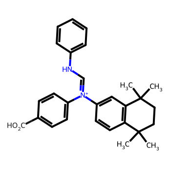 CC1(C)CCC(C)(C)c2cc([N+](=CNc3ccccc3)c3ccc(C(=O)O)cc3)ccc21